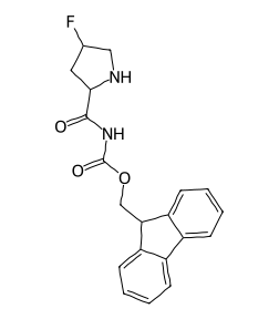 O=C(NC(=O)C1CC(F)CN1)OCC1c2ccccc2-c2ccccc21